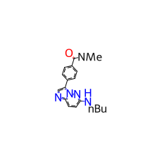 CCCCNc1ccc2ncc(-c3ccc(C(=O)NC)cc3)n2n1